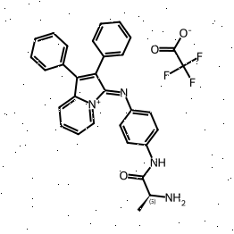 C[C@H](N)C(=O)Nc1ccc(N=C2C(c3ccccc3)=C(c3ccccc3)c3cccc[n+]32)cc1.O=C([O-])C(F)(F)F